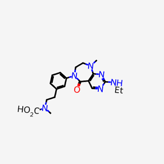 CCNc1ncc2c(n1)N(C)CCN(c1cccc(CCN(C)C(=O)O)c1)C2=O